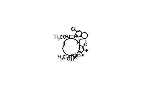 COC1/C=C/CC[C@@H](C)C(=O)NS(=O)(=O)c2cc3c(c(F)c2F)OC[C@]2(CCCc4cc(Cl)ccc42)CN3C[C@@H]2CC[C@@H]12